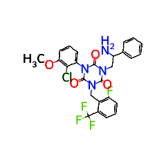 COc1cccc(-n2c(=O)n(Cc3c(F)cccc3C(F)(F)F)c(=O)n(CC(N)c3ccccc3)c2=O)c1Cl